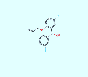 C=CCOc1ccc(F)cc1C(O)c1cccc(F)c1